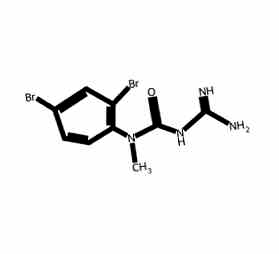 CN(C(=O)NC(=N)N)c1ccc(Br)cc1Br